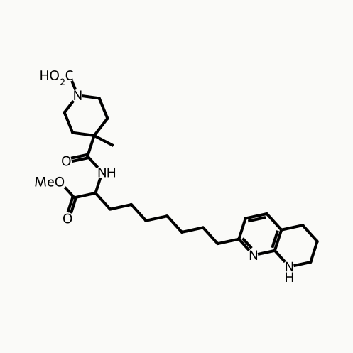 COC(=O)C(CCCCCCCc1ccc2c(n1)NCCC2)NC(=O)C1(C)CCN(C(=O)O)CC1